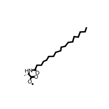 CCCCCCCCCCCCCCCCCC(=O)N[C@@H](C)C(=O)OC